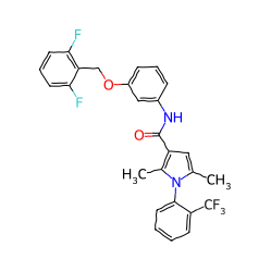 Cc1cc(C(=O)Nc2cccc(OCc3c(F)cccc3F)c2)c(C)n1-c1ccccc1C(F)(F)F